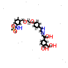 CS(=O)(=O)Nc1cccc(COCCOc2ccc(CCNC[C@H](O)c3ccc(O)c(CO)c3)cc2)c1